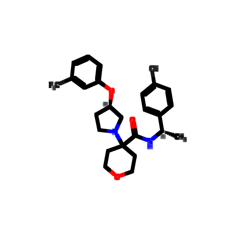 C[C@H](NC(=O)C1(N2CC[C@@H](Oc3cccc(C(F)(F)F)c3)C2)CCOCC1)c1ccc(C#N)cc1